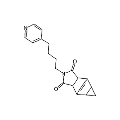 O=C1C2C3C=CC(C4CC34)C2C(=O)N1CCCCc1ccncc1